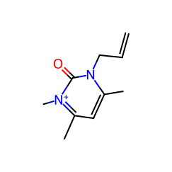 C=CCn1c(C)cc(C)[n+](C)c1=O